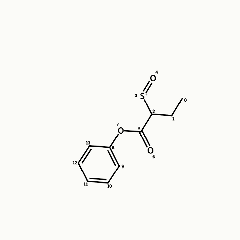 CCC([S+]=O)C(=O)Oc1ccccc1